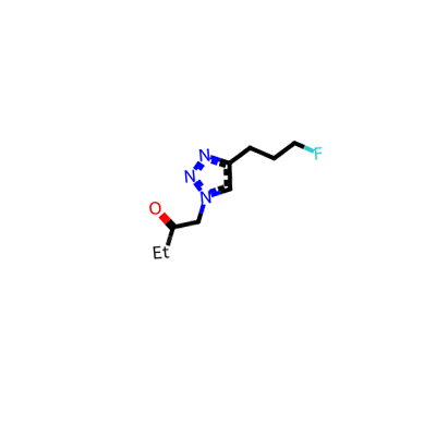 CCC(=O)Cn1cc(CCCF)nn1